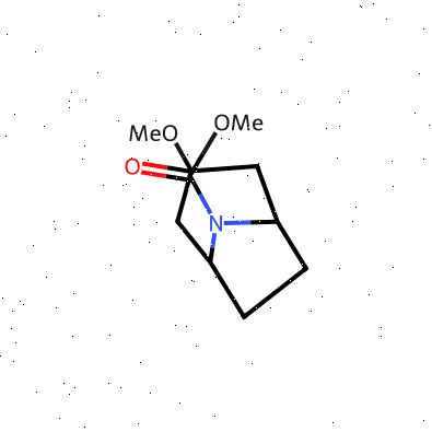 COC(=O)N1C2CCC1CC(OC)C2